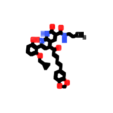 CCCNC(=O)c1cc2c(C(=O)C=CC=Cc3ccc4c(c3)OCO4)cc(-c3c(O)cccc3OCC3CC3)nc2[nH]c1=O